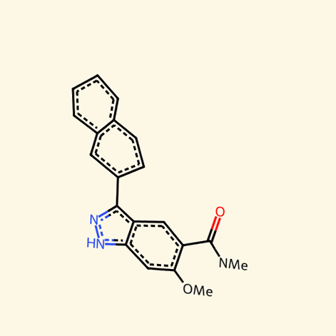 CNC(=O)c1cc2c(-c3ccc4ccccc4c3)n[nH]c2cc1OC